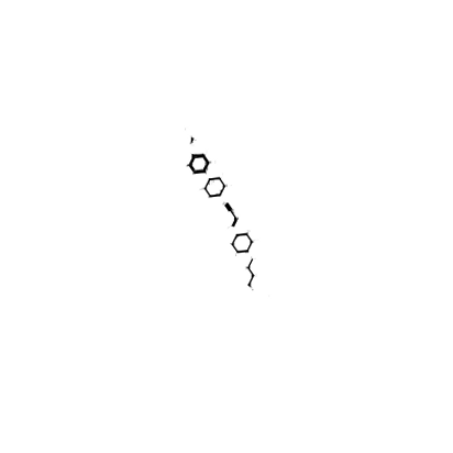 CCCCC[C@H]1CC[C@H](/C=C/C#C[C@H]2CC[C@H](c3ccc(OCC)cc3)CC2)CC1